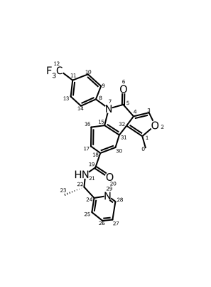 Cc1occ2c(=O)n(-c3ccc(C(F)(F)F)cc3)c3ccc(C(=O)N[C@@H](C)c4ccccn4)cc3c12